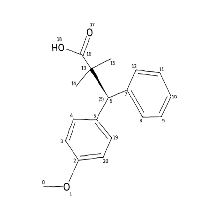 COc1ccc([C@H](c2ccccc2)C(C)(C)C(=O)O)cc1